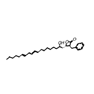 CCCCCC=CCC=CCCCCCCC[C@@H](O)C[C@@H]1OC(=O)[C@H]1Cc1ccccc1